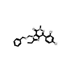 CCc1nc2c(-c3ccc(Cl)cc3Cl)nn(C)c(=O)c2n1COCc1ccccc1